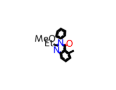 CCc1nc2cccc(C)c2c(=O)n1-c1ccccc1OC